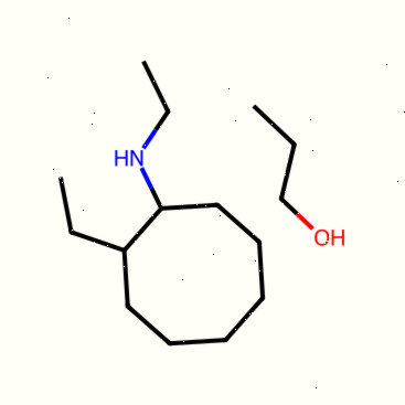 CCCO.CCNC1CCCCCCC1CC